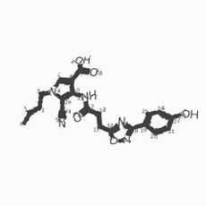 CCCCn1cc(C(=O)O)c(NC(=O)CCc2nc(-c3ccc(O)cc3)no2)c1C#N